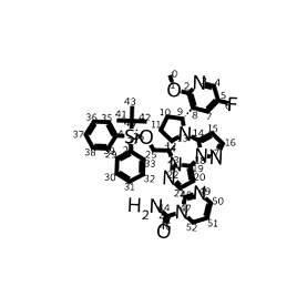 COc1ncc(F)cc1[C@H]1CCCN1c1ccnn1-c1ccnn1CCO[Si](c1ccccc1)(c1ccccc1)C(C)(C)C.NC(=O)N1C=NC=CC1